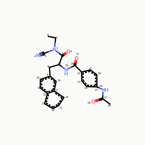 CCN(C#N)C(=O)C(Cc1ccc2ccccc2c1)NC(=O)c1ccc(NC(C)=O)cc1